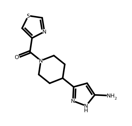 Nc1cc(C2CCN(C(=O)c3cscn3)CC2)n[nH]1